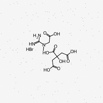 Br.CN(CC(=O)O)C(=N)N.O=C(O)CC(O)(CC(=O)O)C(=O)O